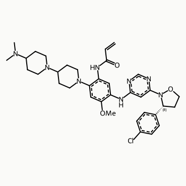 C=CC(=O)Nc1cc(Nc2cc(N3OCC[C@@H]3c3ccc(Cl)cc3)ncn2)c(OC)cc1N1CCC(N2CCC(N(C)C)CC2)CC1